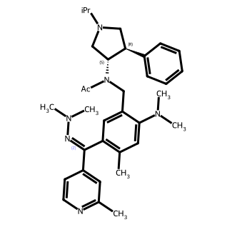 CC(=O)N(Cc1cc(/C(=N\N(C)C)c2ccnc(C)c2)c(C)cc1N(C)C)[C@@H]1CN(C(C)C)C[C@H]1c1ccccc1